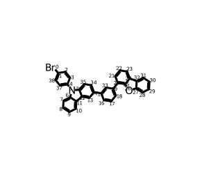 Brc1ccc(-n2c3ccccc3c3cc(-c4cccc(-c5cccc6c5oc5ccccc56)c4)ccc32)cc1